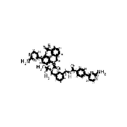 CC(C)(C)N(Cc1cccc(CNC(=O)c2ccc(-c3ccnc(N)n3)cc2)c1)C(=O)N(Cc1cccc(C(F)(F)F)c1)c1ccc(-c2ccnc(N)n2)cc1